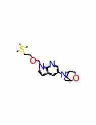 CS(C)(C)CCOCn1ccc2cc(N3CC4CC3CO4)cnc21